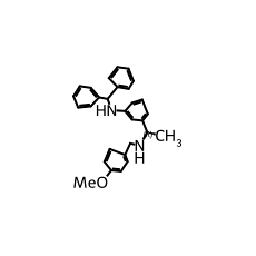 COc1ccc(CN[C@H](C)c2cccc(NC(c3ccccc3)c3ccccc3)c2)cc1